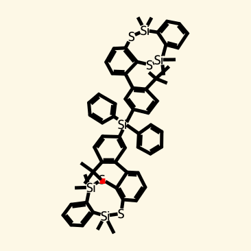 CC(C)(C)c1ccc([Si](c2ccccc2)(c2ccccc2)c2ccc(C(C)(C)C)c(-c3cccc4c3S[Si](C)(C)c3ccccc3[Si](C)(C)S4)c2)cc1-c1cccc2c1S[Si](C)(C)c1ccccc1[Si](C)(C)S2